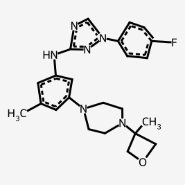 Cc1cc(Nc2ncn(-c3ccc(F)cc3)n2)cc(N2CCN(C3(C)COC3)CC2)c1